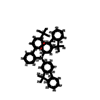 CC(C)(C)c1ccc(-c2ccccc2N(c2ccc3c(c2)C(C)(C)c2ccccc2-3)c2ccc3c(c2)C(C)(C)c2ccccc2-3)cc1